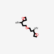 CCCC(CCOCCC(CCC)C1CCO1)C1CCO1